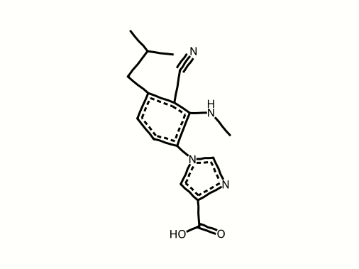 CNc1c(-n2cnc(C(=O)O)c2)ccc(CC(C)C)c1C#N